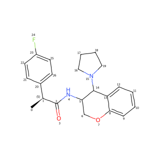 C[C@H](C(=O)NC1COc2ccccc2C1N1CCCC1)c1ccc(F)cc1